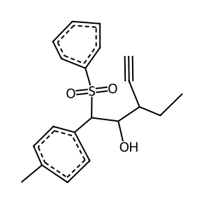 C#CC(CC)C(O)C(c1ccc(C)cc1)S(=O)(=O)c1ccccc1